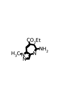 CCOC(=O)C1=Cc2c(cnn2C)N=C(N)C1